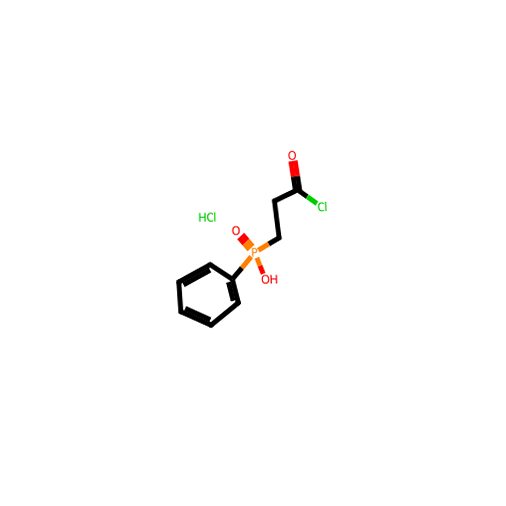 Cl.O=C(Cl)CCP(=O)(O)c1ccccc1